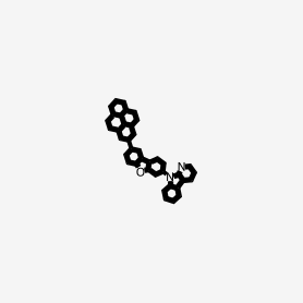 c1cc2ccc3cc(-c4ccc5oc6cc(-n7c8ccccc8c8cccnc87)ccc6c5c4)cc4ccc(c1)c2c34